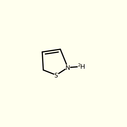 [2H]N1C=CCS1